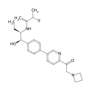 C=C(N[C@H](CC)[C@H](O)c1ccc(-c2ccc(C(=O)CN3CCC3)nc2)cc1)C(C)F